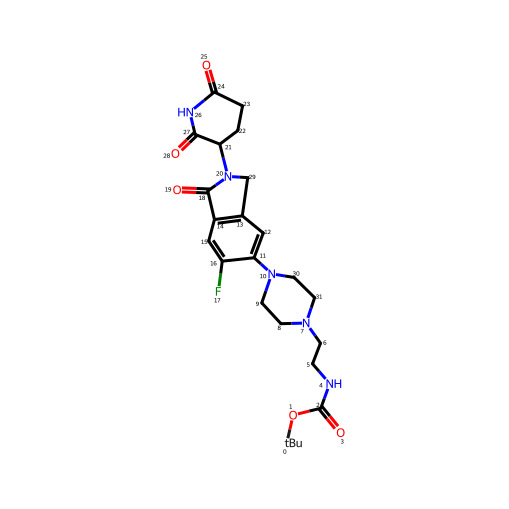 CC(C)(C)OC(=O)NCCN1CCN(c2cc3c(cc2F)C(=O)N(C2CCC(=O)NC2=O)C3)CC1